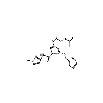 CC(COC(F)F)Oc1cc(OCc2ccccc2)cc(C(=O)Nc2ccn(C)n2)c1